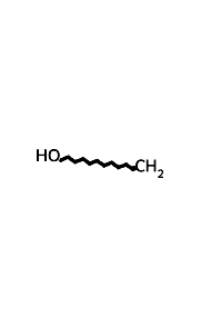 C=CCCCCCCCCCCO